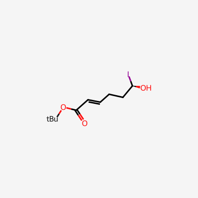 CC(C)(C)OC(=O)/C=C/CC[C@H](O)I